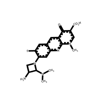 CN(C)C1C(N)CN1c1cc2nc3c(cc2cc1F)c(=O)c(C(=O)O)cn3C